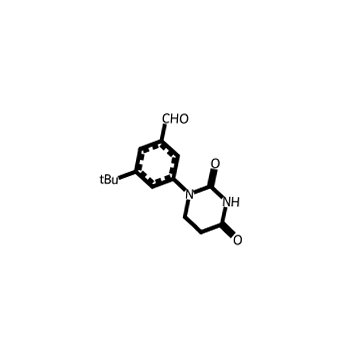 CC(C)(C)c1cc(C=O)cc(N2CCC(=O)NC2=O)c1